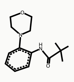 CC(C)(C)C(=O)Nc1ccccc1N1CCOCC1